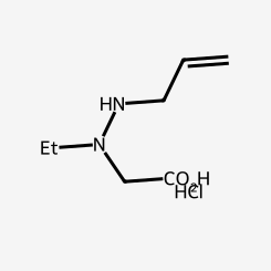 C=CCNN(CC)CC(=O)O.Cl